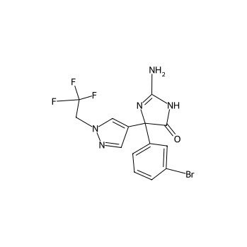 NC1=NC(c2cccc(Br)c2)(c2cnn(CC(F)(F)F)c2)C(=O)N1